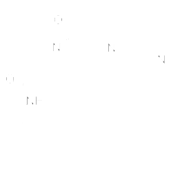 O=C(NCc1ccccc1)C1CCN(C(=O)C2CCN(c3ccncc3)CC2)CC1